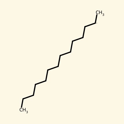 C[CH]CCCCCCCCCCCC